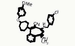 C=C1C=C(NCc2ccc(Cl)cc2)C(C#N)=C(C2CCCC(Oc3ccc(OC)cc3)CC2)c2ccccc21